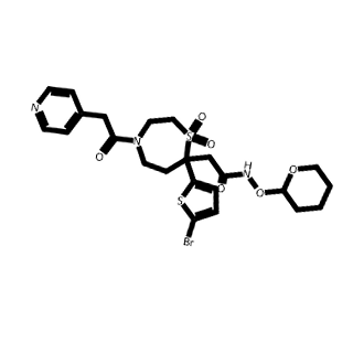 O=C(CC1(c2ccc(Br)s2)CCN(C(=O)Cc2ccncc2)CCS1(=O)=O)NOC1CCCCO1